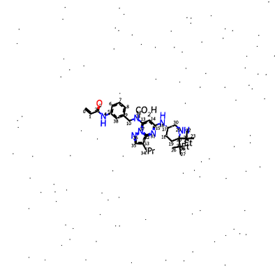 C=CC(=O)Nc1cccc(CN(C(=O)O)c2cc(N[C@H]3CCC(C(C)(C)CC)(C(C)(C)CC)NC3)nc3c(C(C)C)cnn23)c1